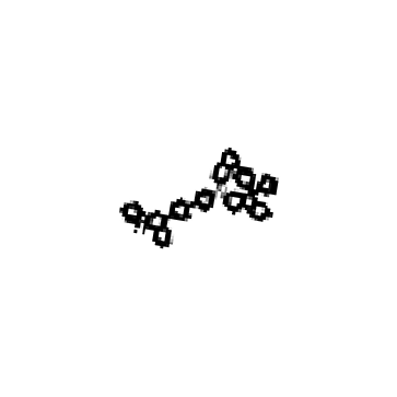 c1ccc(C2(c3ccccc3)c3ccccc3-c3ccc(N(c4ccc(-c5ccc(-c6cc7c8ccccc8oc7c7ccccc67)cc5)cc4)c4ccc5ccccc5c4)cc32)cc1